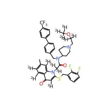 [2H]c1c(C)c([2H])c2c(c1[2H])c(=O)c([2H])c(SCc1cccc(F)c1F)n2C([2H])([2H])C(=O)N(Cc1ccc(-c2ccc(C(F)(F)F)cc2)cc1)C1CCN(CC([2H])([2H])OC([2H])([2H])[2H])CC1